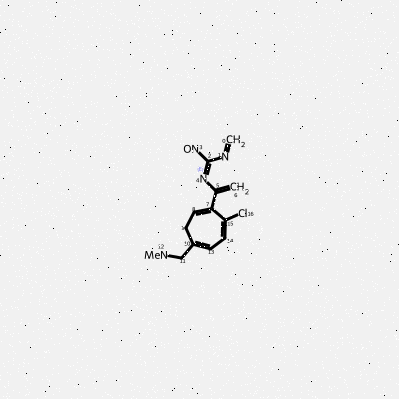 C=N/C(N=O)=N\C(=C)C1=CCC(CNC)=CC=C1Cl